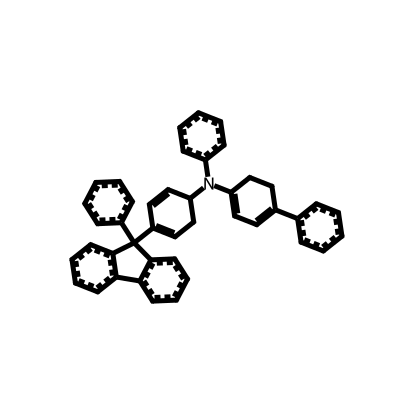 C1=CC(N(C2=CC=C(c3ccccc3)CC2)c2ccccc2)CC=C1C1(c2ccccc2)c2ccccc2-c2ccccc21